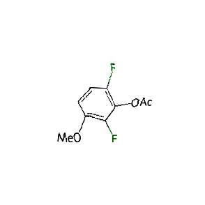 COc1ccc(F)c(OC(C)=O)c1F